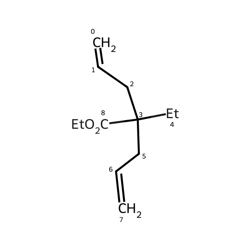 C=CCC(CC)(CC=C)C(=O)OCC